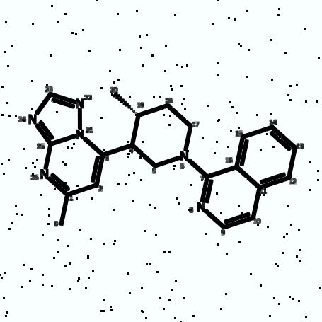 Cc1cc(C2CN(c3nccc4ccccc34)CC[C@H]2C)n2ncnc2n1